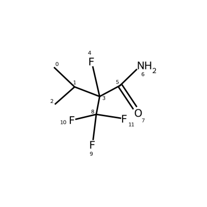 CC(C)C(F)(C(N)=O)C(F)(F)F